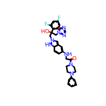 O=C(CNC1=CC2=CN(CC(O)(Cn3cncn3)c3ccc(F)cc3F)NC2C=C1)N1CCN(c2ccccc2)CC1